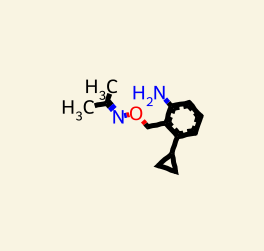 CC(C)=NOCc1c(N)cccc1C1CC1